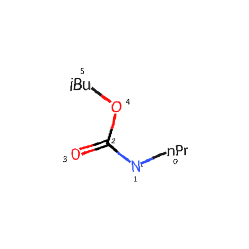 CCC[N]C(=O)OC(C)CC